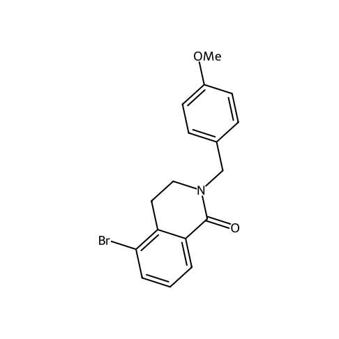 COc1ccc(CN2CCc3c(Br)cccc3C2=O)cc1